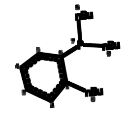 CCCCc1ccccc1P(CCCC)CCCC